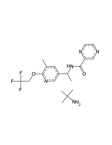 CC(C)(C)N.Cc1cc(C(C)NC(=O)c2cnccn2)cnc1OCC(F)(F)F